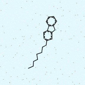 CCCCCCCCc1ccc2c(c1)[CH]c1ccccc1-2